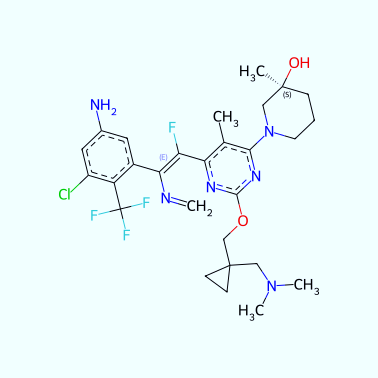 C=N/C(=C(/F)c1nc(OCC2(CN(C)C)CC2)nc(N2CCC[C@](C)(O)C2)c1C)c1cc(N)cc(Cl)c1C(F)(F)F